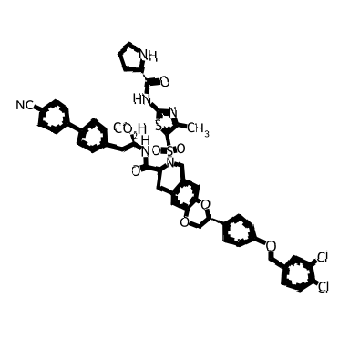 Cc1nc(NC(=O)[C@@H]2CCCN2)sc1S(=O)(=O)N1Cc2cc3c(cc2CC1C(=O)N[C@@H](Cc1ccc(-c2ccc(C#N)cc2)cc1)C(=O)O)OC[C@H](c1ccc(OCc2ccc(Cl)c(Cl)c2)cc1)O3